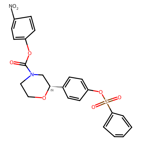 O=C(Oc1ccc([N+](=O)[O-])cc1)N1CCO[C@@H](c2ccc(OS(=O)(=O)c3ccccc3)cc2)C1